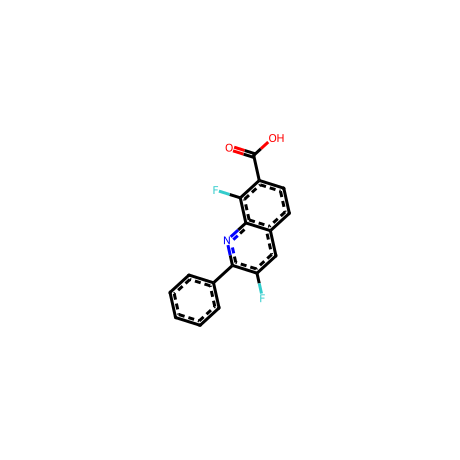 O=C(O)c1ccc2cc(F)c(-c3ccccc3)nc2c1F